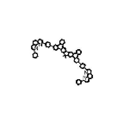 CC1(C)c2cc3c4ccc(-c5ccc(-c6ccc7ccc8ccc(-c9ccccc9)nc8c7n6)cc5)cc4c4ccccc4c3cc2-c2cc3c4ccccc4c4cc(-c5ccc(-c6ccc7ccc8ccc(-c9ccccc9)nc8c7n6)cc5)ccc4c3cc21